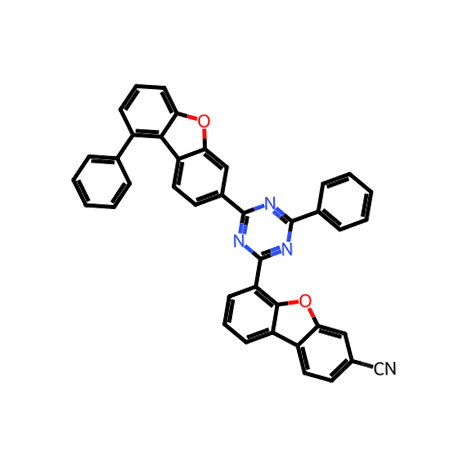 N#Cc1ccc2c(c1)oc1c(-c3nc(-c4ccccc4)nc(-c4ccc5c(c4)oc4cccc(-c6ccccc6)c45)n3)cccc12